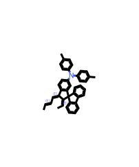 C/C=C/C=C1\C(=C/C)C2(c3cc(N(c4ccc(C)cc4)c4ccc(C)cc4)ccc31)c1ccccc1-c1ccccc12